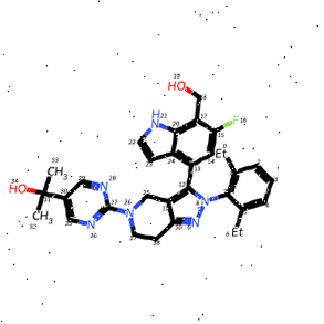 CCc1cccc(CC)c1-n1nc2c(c1-c1cc(F)c(CO)c3[nH]ccc13)CN(c1ncc(C(C)(C)O)cn1)CC2